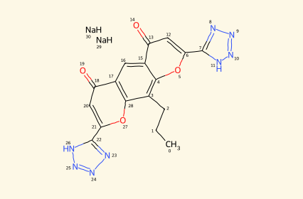 CCCc1c2oc(-c3nnn[nH]3)cc(=O)c2cc2c(=O)cc(-c3nnn[nH]3)oc12.[NaH].[NaH]